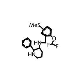 CSc1ccc(OC(F)F)c(CNC2CCCNC2c2ccccc2)c1